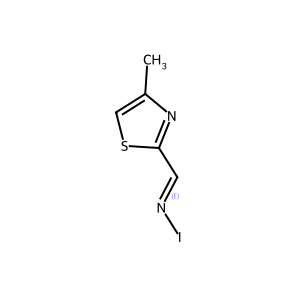 Cc1csc(/C=N/I)n1